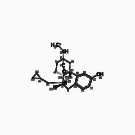 CNC12CC[C@@]3(OC1)[C@H]1Cc4ccc(O)cc4[C@@]3(CCN1CC1CC1)C2